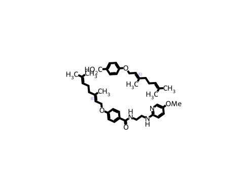 CC(C)=CCC/C(C)=C/COc1ccc(C(=O)O)cc1.COc1ccc(NCCNC(=O)c2ccc(OC/C=C(\C)CCC=C(C)C)cc2)nc1